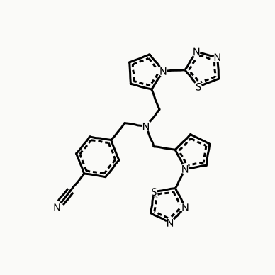 N#Cc1ccc(CN(Cc2cccn2-c2nncs2)Cc2cccn2-c2nncs2)cc1